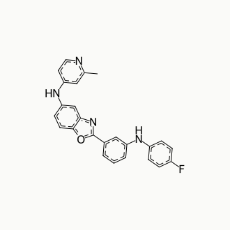 Cc1cc(Nc2ccc3oc(-c4cccc(Nc5ccc(F)cc5)c4)nc3c2)ccn1